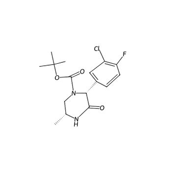 C[C@@H]1CN(C(=O)OC(C)(C)C)[C@H](c2ccc(F)c(Cl)c2)C(=O)N1